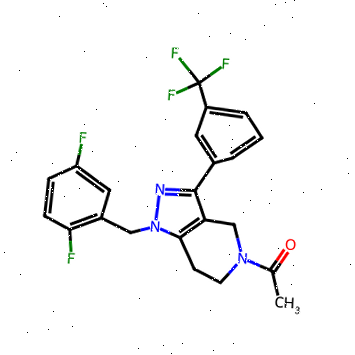 CC(=O)N1CCc2c(c(-c3cccc(C(F)(F)F)c3)nn2Cc2cc(F)ccc2F)C1